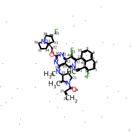 C#Cc1c(F)ccc2cccc(-c3ncc4c(N(C)C5CCN(C(=O)C=C)C5C)nc(OC[C@@]56CCCN5C[C@H](F)C6)nc4c3F)c12